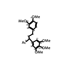 COc1ccc(CCC(C(C)=O)c2cc(OC)c(OC)c(OC)c2)cc1OC